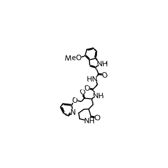 COc1cccc2[nH]c(C(=O)NCC(=O)NC(CC3CCCNC3=O)C(=O)COc3ccccn3)cc12